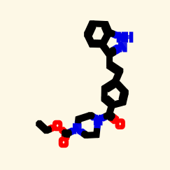 CCOC(=O)N1CCN(C(=O)c2ccc(C=Cc3n[nH]c4ccccc34)cc2)CC1